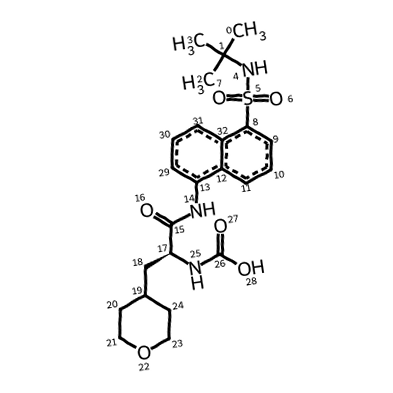 CC(C)(C)NS(=O)(=O)c1cccc2c(NC(=O)[C@H](CC3CCOCC3)NC(=O)O)cccc12